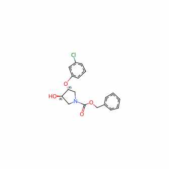 O=C(OCc1ccccc1)N1C[C@@H](O)[C@H](Oc2cccc(Cl)c2)C1